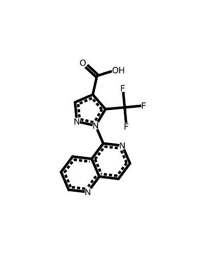 O=C(O)c1cnn(-c2nccc3ncccc23)c1C(F)(F)F